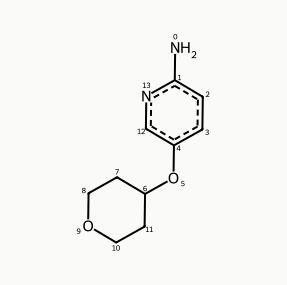 Nc1ccc(OC2CCOCC2)cn1